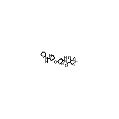 Cc1ncc(C(=O)Nc2ccc(Oc3ccnc(Nc4ccccn4)c3)cn2)c(=O)n1C